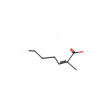 CCCCC=C(C)C(=O)O.O